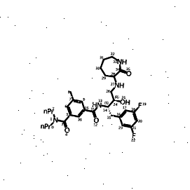 CCCN(CCC)C(=O)c1cc(C)cc(C(=O)N[C@@H](Cc2cc(F)cc(F)c2)[C@H](O)CNC2CCCCNC2=O)c1